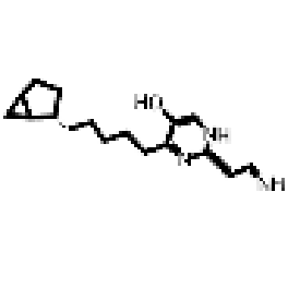 N=C/C=C1/N=C(CCCCC[C@H]2CCC3CC32)C(O)=CN1